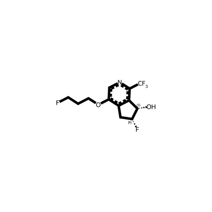 O[C@H]1c2c(C(F)(F)F)ncc(OCCCF)c2C[C@H]1F